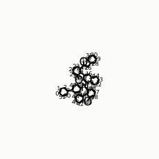 c1ccc(-c2ccc(N(c3c4ccccc4cc4c3oc3cccc(-c5cc6ccccc6o5)c34)c3cccc4oc5ccccc5c34)cc2)cc1